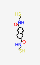 O=C(NCCS)c1ccc2cc(C(=O)NCCS)ccc2c1